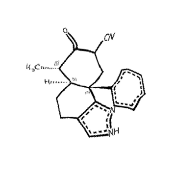 C[C@@H]1C(=O)C(C#N)C[C@]2(c3ccccc3)c3n[nH]cc3CC[C@@H]12